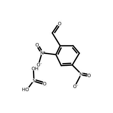 O=Cc1ccc([N+](=O)[O-])cc1[N+](=O)[O-].O=S(O)O